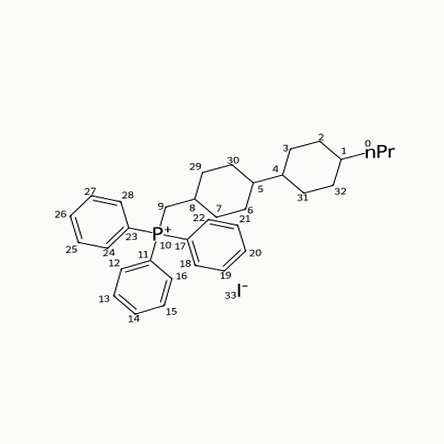 CCCC1CCC(C2CCC(C[P+](c3ccccc3)(c3ccccc3)c3ccccc3)CC2)CC1.[I-]